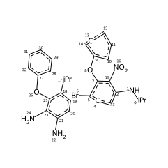 CC(C)Nc1ccc(Br)c(Oc2ccccc2)c1[N+](=O)[O-].CC(C)c1ccc(N)c(N)c1Oc1ccccc1